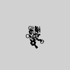 C#Cc1ccc(CNC(=O)[C@@H]2C[C@@H](O)CN2C(=O)[C@H](C(C)C)n2cc(C)nn2)c(OCCCOC)c1